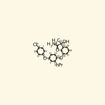 CCCc1cc(Oc2ccc(Cl)cc2)ccc1Oc1cccc([C@@](C)(O)C(N)=O)c1